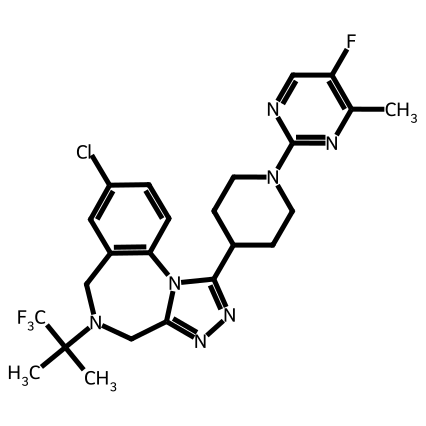 Cc1nc(N2CCC(c3nnc4n3-c3ccc(Cl)cc3CN(C(C)(C)C(F)(F)F)C4)CC2)ncc1F